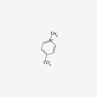 C[n+]1ccc(C(Cl)(Cl)Cl)cc1